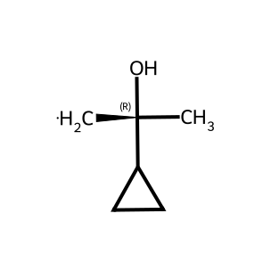 [CH2][C@](C)(O)C1CC1